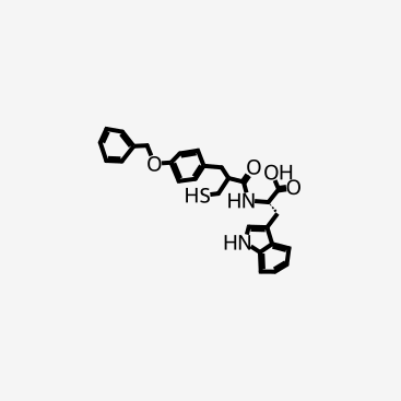 O=C(N[C@@H](Cc1c[nH]c2ccccc12)C(=O)O)C(CS)Cc1ccc(OCc2ccccc2)cc1